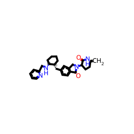 C=C1CCC(N2Cc3cc(C[C@H]4CCCC[C@@H]4NCc4ccccn4)ccc3C2=O)C(=O)N1